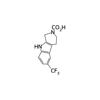 O=C(O)N1CCc2c([nH]c3ccc(C(F)(F)F)cc23)C1